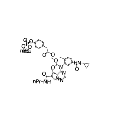 CCCCOP(=O)(OCCCC)Oc1ccc(CC(=O)OCOC(=O)N(c2cc(C(=O)NC3CC3)ccc2C)c2ncnn3cc(C(=O)NCCC)c(C)c23)cc1